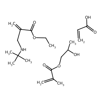 C=C(C)C(=O)OCC(C)O.C=C(CNC(C)(C)C)C(=O)OCC.C=CC(=O)O